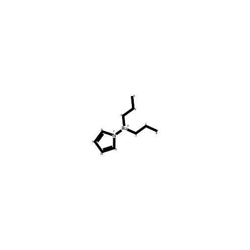 CC[CH2][Ru]([CH2]CC)[n]1cccc1